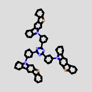 c1cc(-c2nc(-c3cccc(-n4c5ccccc5c5cc6c(cc54)sc4ccccc46)c3)nc(-c3cccc(-n4c5ccccc5c5cc6c(cc54)sc4ccccc46)c3)n2)cc(-n2c3ccccc3c3cc4c(cc32)sc2ccccc24)c1